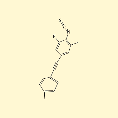 Cc1ccc(C#Cc2cc(C)c(N=C=S)c(F)c2)cc1